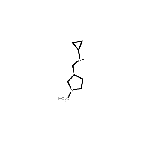 O=C(O)N1CC[C@H](CNC2CC2)C1